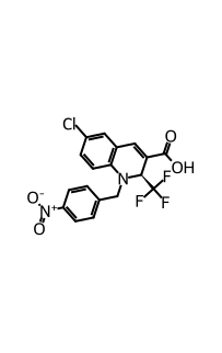 O=C(O)C1=Cc2cc(Cl)ccc2N(Cc2ccc([N+](=O)[O-])cc2)[C@@H]1C(F)(F)F